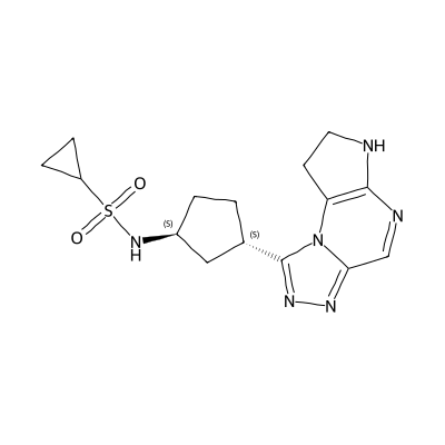 O=S(=O)(N[C@H]1CC[C@H](c2nnc3cnc4c(n23)CCN4)C1)C1CC1